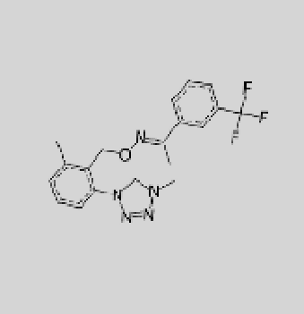 CC(=NOCc1c(C)cccc1N1CN(C)N=N1)c1cccc(C(F)(F)F)c1